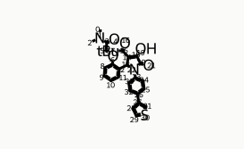 CN(C)C(=O)COc1ccccc1C1C(C(=O)C(C)(C)C)=C(O)C(=O)N1c1ccc(-c2ccsc2)cc1